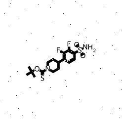 CC(C)(C)OC(=S)N1CCC(c2ccc(S(N)(=O)=O)c(F)c2F)CC1